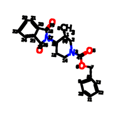 C[C@H]1CN(C(=O)OCc2ccccc2)CC[C@H]1N1C(=O)c2ccccc2C1=O